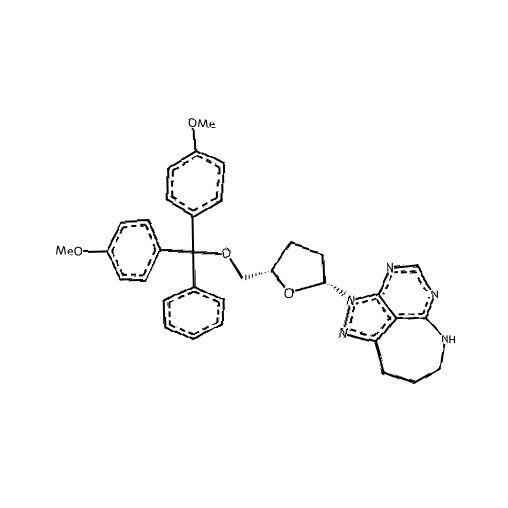 COc1ccc(C(OC[C@@H]2CC[C@H](n3nc4c5c(ncnc53)NCCC4)O2)(c2ccccc2)c2ccc(OC)cc2)cc1